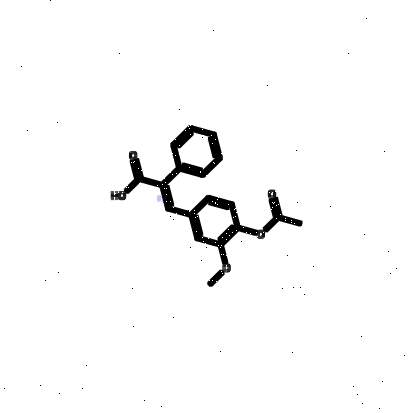 COc1cc(/C=C(/C(=O)O)c2ccccc2)ccc1OC(C)=O